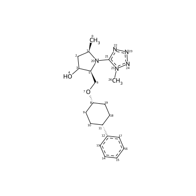 C[C@@H]1CC(O)[C@H](CO[C@H]2CC[C@@H](c3ccccc3)CC2)N1c1nnnn1C